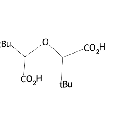 CC(C)(C)C(OC(C(=O)O)C(C)(C)C)C(=O)O